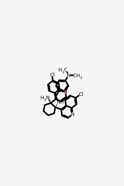 CN(C)c1ccc(CN[C@]2(c3ccnc4cc(Cl)ccc34)CCCC[C@]2(N)c2ccnc3cc(Cl)ccc23)cc1